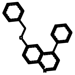 c1ccc(COc2ccc3nccc(-c4ccccc4)c3c2)cc1